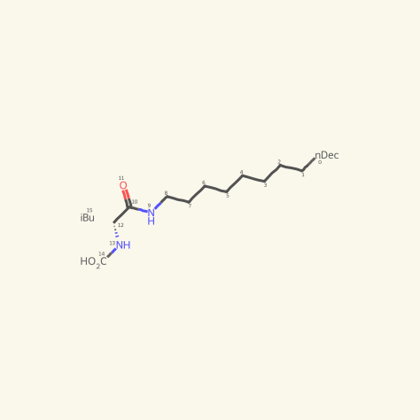 CCCCCCCCCCCCCCCCCCNC(=O)[C@H](NC(=O)O)[C@H](C)CC